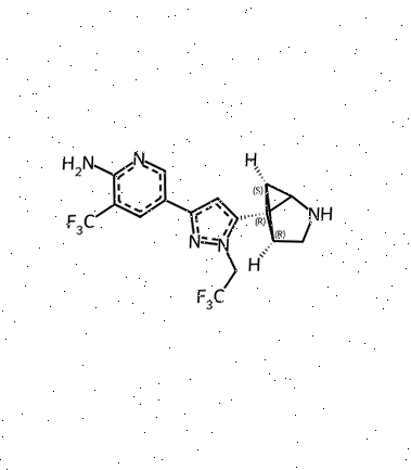 Nc1ncc(-c2cc([C@]34C5NC[C@@H]3[C@H]54)n(CC(F)(F)F)n2)cc1C(F)(F)F